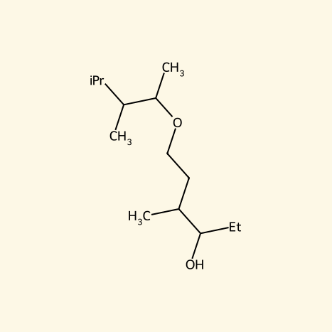 CCC(O)C(C)CCOC(C)C(C)C(C)C